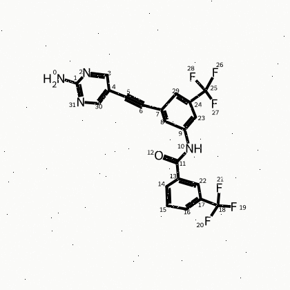 Nc1ncc(C#Cc2cc(NC(=O)c3cccc(C(F)(F)F)c3)cc(C(F)(F)F)c2)cn1